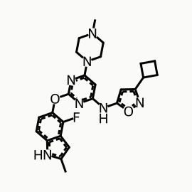 Cc1cc2c(F)c(Oc3nc(Nc4cc(C5CCC5)no4)cc(N4CCN(C)CC4)n3)ccc2[nH]1